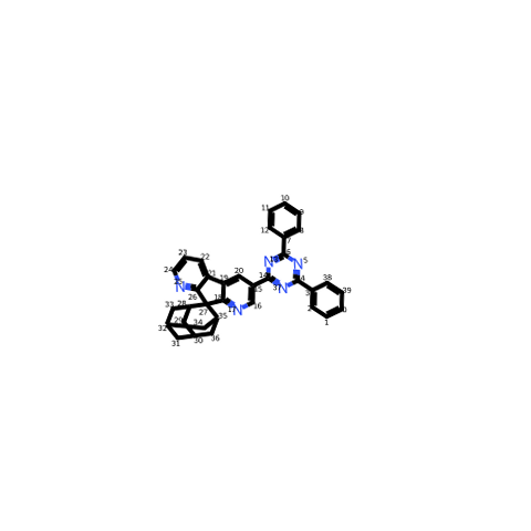 c1ccc(-c2nc(-c3ccccc3)nc(-c3cnc4c(c3)-c3cccnc3C43C4CC5CC(C4)CC3C5)n2)cc1